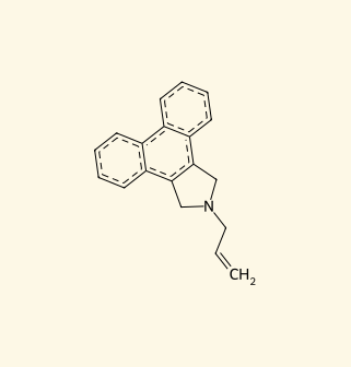 C=CCN1Cc2c(c3ccccc3c3ccccc23)C1